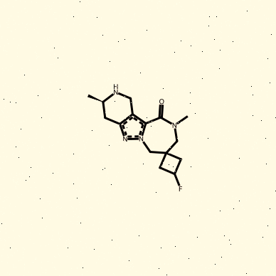 C[C@@H]1Cc2nn3c(c2CN1)C(=O)N(C)CC1(CC(F)C1)C3